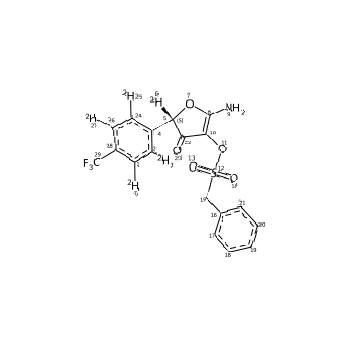 [2H]c1c([2H])c([C@]2([2H])OC(N)=C(OS(=O)(=O)Cc3ccccc3)C2=O)c([2H])c([2H])c1C(F)(F)F